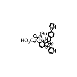 CC(C)(C)OC(=O)N(CC(=O)O)c1cccc(C(N)(Cc2ccc(-n3cccn3)cc2)S(=O)(=O)c2cccnc2)n1